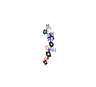 CC1CCCC1N1C[C@H]2CCN(c3ccc(NC(=O)c4ccc(COC5CCC5)cc4)cc3)[C@H]2C1